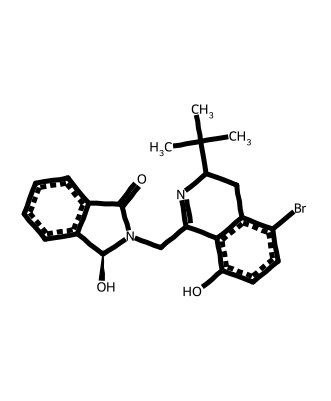 CC(C)(C)C1Cc2c(Br)ccc(O)c2C(CN2C(=O)c3ccccc3[C@@H]2O)=N1